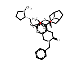 CN1CCC[C@H]1COc1nc2c(c(N3CC4CCC(C3)N4C(=O)OC(C)(C)C)n1)CC(=O)N(Cc1ccccc1)C2